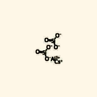 O=[Si]([O-])[O-].O=[Si]([O-])[O-].[Al+3].[Cs+]